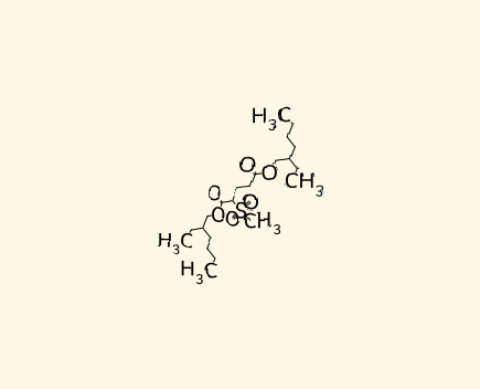 CCCCC(CC)COC(=O)CCC(C(=O)OCC(CC)CCCC)S(C)(=O)=O